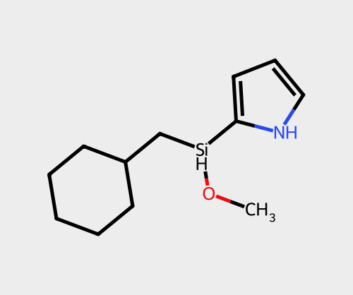 CO[SiH](CC1CCCCC1)c1ccc[nH]1